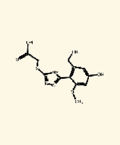 CCc1cc(O)cc(OC)c1-c1nnc(SCC(=O)O)[nH]1